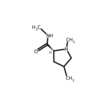 CNC(=O)[C@@H]1CC(C)CN1C